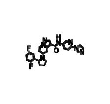 O=C(Nc1ccc(-n2ccnc2)nc1)c1cnn2ccc(N3CCCC3c3cc(F)ccc3F)cc12